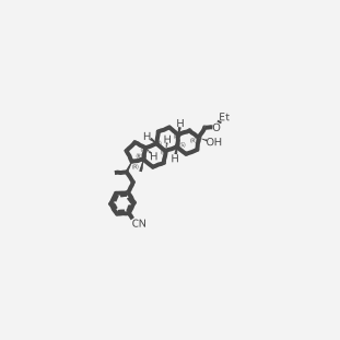 CCOC[C@@]1(O)CC[C@H]2[C@H](CC[C@@H]3[C@@H]2CC[C@]2(C)[C@@H](C(C)Cc4cccc(C#N)c4)CC[C@@H]32)C1